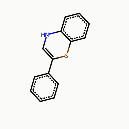 C1=C(c2ccccc2)Sc2ccccc2N1